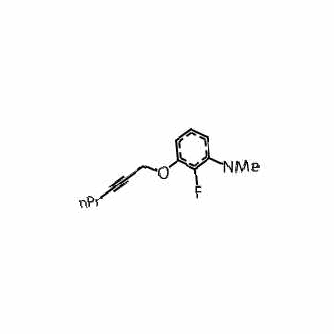 CCCC#CCOc1cccc(NC)c1F